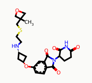 CC1(CSCCN[C@H]2C[C@H](Oc3ccc4c(c3)C(=O)N(C3CCC(=O)NC3=O)C4=O)C2)COC1